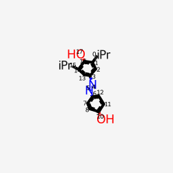 CC(C)c1cc(/N=N/c2ccc(O)cc2)cc(C(C)C)c1O